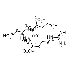 CCCNC(CCO)C(=O)O.N=C(N)NCCCC(N)C(=O)O.NC(CC(=O)O)C(=O)O